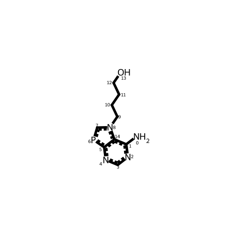 Nc1ncnc2pcn(CCCCO)c12